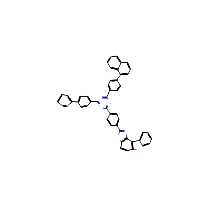 c1ccc(-c2ccc(-c3nc(-c4ccc(-c5nc6c(ccc7oc8ccccc8c76)s5)cc4)nc(-c4ccc(-c5cccc6ccccc56)cc4)n3)cc2)cc1